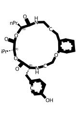 CCC[C@@H]1OC(=O)[C@@H](C(C)C)OC(=O)[C@@H](Cc2ccc(O)cc2)NCCOc2ccccc2CCCNC1=O